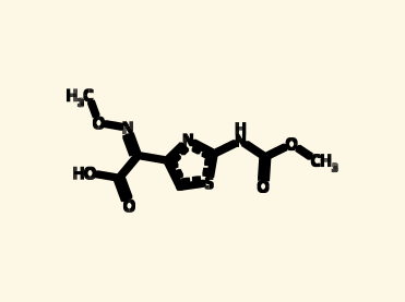 CO/N=C(\C(=O)O)c1csc(NC(=O)OC)n1